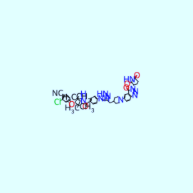 CC1(C)C(NC(=O)c2ccc(N/C=C(/CC3CCN(c4ccc5nnn(C6CCC(=O)NC6=O)c(=O)c5c4)CC3)N=N)cc2)C(C)(C)C1Oc1ccc(C#N)c(Cl)c1